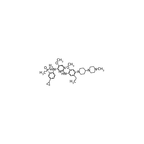 CCc1cc(Nc2ncc(OC)c(Nc3ccc(C4CC4)cc3P(C)(C)=O)n2)c(OC)cc1N1CCC(N2CCN(C)CC2)CC1